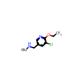 CC(C)(C)NCc1cnc(OCC(F)(F)F)c(Cl)c1